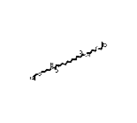 O=C(C=CCCCCCCCCC(=O)NCCCCOCC1CO1)NCCCCOCC1CO1